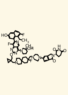 CCc1c(F)ccc2cc(O)cc(-c3ncc4c(N5CCC[C@@](C)(O)C5)nc(OCC5(CN6CCC7(CC6)CCC(F)(CN6CCN(c8ccc9c(c8)CN([C@H]8CCC(=O)NC8=O)C9=O)CC6)CC7)CC5)nc4c3F)c12